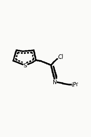 CC(C)N=C(Cl)c1cccs1